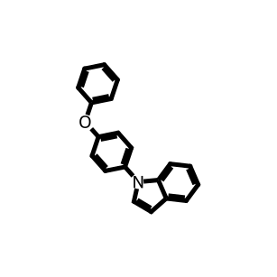 c1ccc(Oc2ccc(-n3ccc4ccccc43)cc2)cc1